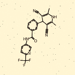 CC1=C(C#N)C(c2cccc(C(=O)Nc3ccc(C(F)(F)F)nc3)c2)C(C#N)=C(C)N1